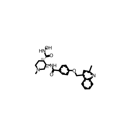 Cc1cc(COc2ccc(C(=O)N[C@H]3CN(C)CC[C@@H]3C(=O)NO)cc2)c2ccccc2n1